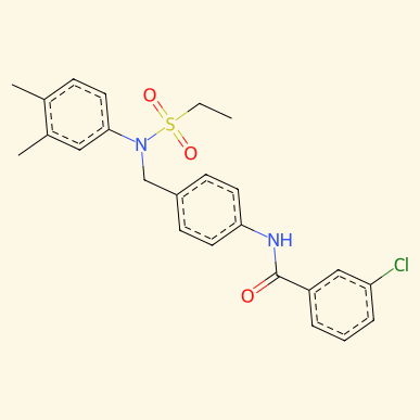 CCS(=O)(=O)N(Cc1ccc(NC(=O)c2cccc(Cl)c2)cc1)c1ccc(C)c(C)c1